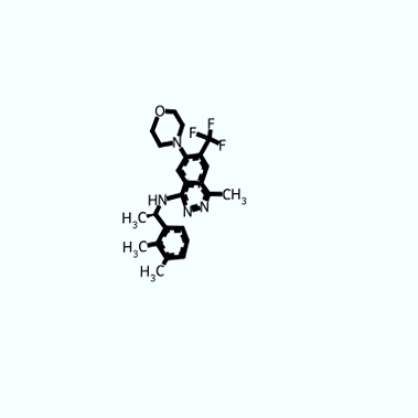 Cc1cccc([C@@H](C)Nc2nnc(C)c3cc(C(F)(F)F)c(N4CCOCC4)cc23)c1C